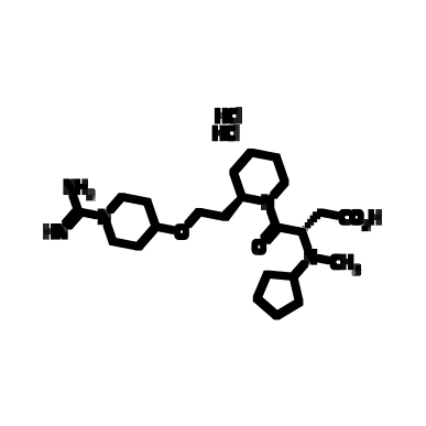 CN(C1CCCC1)[C@@H](CC(=O)O)C(=O)N1CCCC[C@@H]1CCOC1CCN(C(=N)N)CC1.Cl.Cl